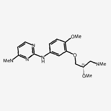 CNC[C@@H](COc1cc(Nc2nccc(NC)n2)ccc1OC)OC